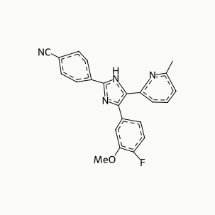 COc1cc(-c2nc(-c3ccc(C#N)cc3)[nH]c2-c2cccc(C)n2)ccc1F